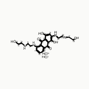 Cl.Cl.O=C1c2c(NCCNCCO)cccc2C(=O)c2c(O)c(NCCNCCO)cc(O)c21